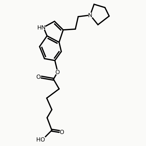 O=C(O)CCCCC(=O)Oc1ccc2[nH]cc(CCN3CCCC3)c2c1